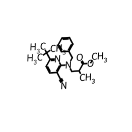 COC(=O)C(C)CN(Cc1ccccc1)c1nc(C(C)(C)C)ccc1C#N